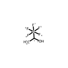 CC(O)S(F)(F)(F)(F)F